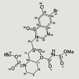 COS(=O)NC(=O)OC1CCCN(C(=O)OC(C)(C)C)C1CC(=O)Cn1cnc2cc(Br)c(Cl)cc2c1=O